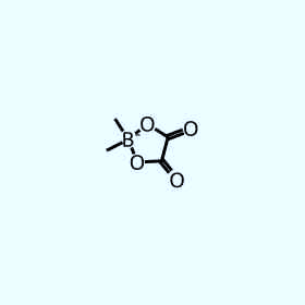 C[B-]1(C)OC(=O)C(=O)O1